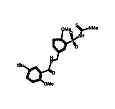 CNC(=S)NS(=O)(=O)c1cc(CNC(=O)c2cc(C(C)(C)C)ccc2OC)ccc1OC